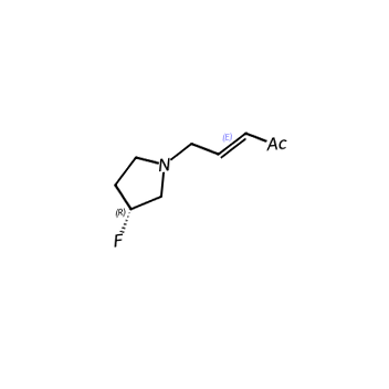 CC(=O)/C=C/CN1CC[C@@H](F)C1